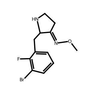 CON=C1CCNC1Cc1cccc(Br)c1F